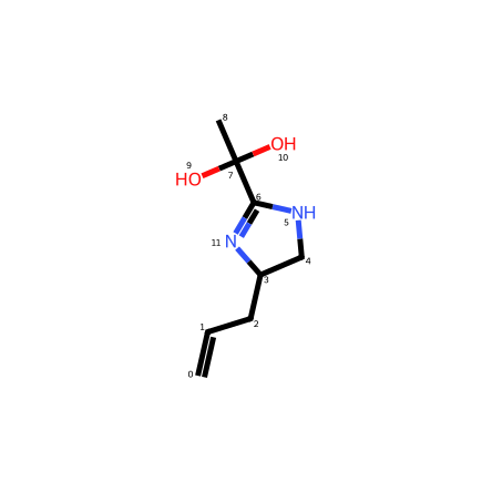 C=CCC1CNC(C(C)(O)O)=N1